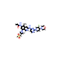 C=CC(=O)Nc1cc(N2C[C@H](CS(C)(=O)=O)[C@H]2C)c2cnc(Nc3ccnc(N4CC[C@@H](N5CCOCC5)[C@@H](F)C4)n3)cc2c1C(C)C